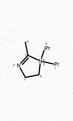 CC1=NCC[N+]1(C(C)C)C(C)C